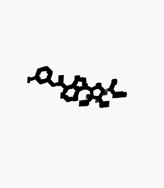 CNC(=O)[C@H]1OC(n2cnc3c(NCc4cccc(I)c4)ncnc32)[C@H](O)[C@@H]1O